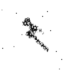 Cc1ccc2nc(N3CCS(=O)(=O)c4ccccc4C3)nc(NCC3(NC(=O)CCOCCOCCOCCOCI)COC3)c2c1